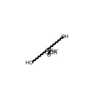 CC(O)C(=O)[O-].OCCCCCCCCCCCCOCCCCCCCCCCCCO.[Na+]